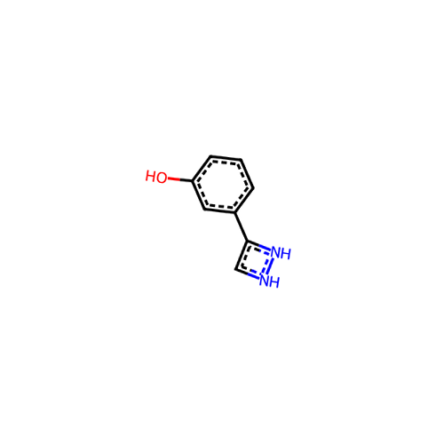 Oc1cccc(-c2c[nH][nH]2)c1